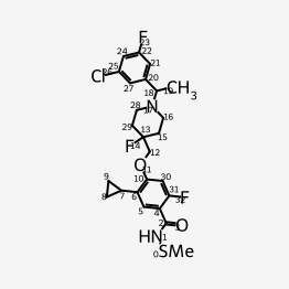 CSNC(=O)c1cc(C2CC2)c(OCC2(F)CCN(C(C)c3cc(F)cc(Cl)c3)CC2)cc1F